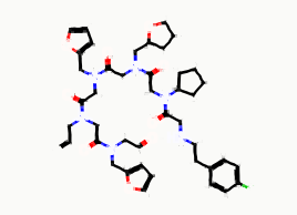 C=CCN(CC(=O)N(CC=O)Cc1ccco1)C(=O)CN(Cc1ccco1)C(=O)CN(CC1CCCO1)C(=O)CN(C(=O)CNCCc1ccc(Cl)cc1)C1CCCC1